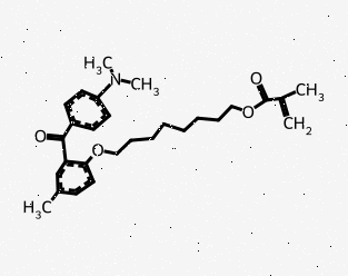 C=C(C)C(=O)OCCCCCCCCOc1ccc(C)cc1C(=O)c1ccc(N(C)C)cc1